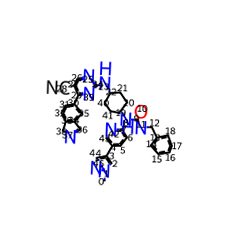 Cn1cc(-c2ccc(N(C(=O)NCc3ccccc3)[C@H]3CC[C@H](Nc4ncc(C#N)c(-c5ccc6c(c5)C=NC6)n4)CC3)nc2)cn1